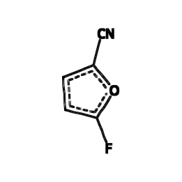 N#Cc1ccc(F)o1